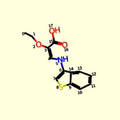 CCO/C(=C/Nc1csc2ccccc12)C(=O)O